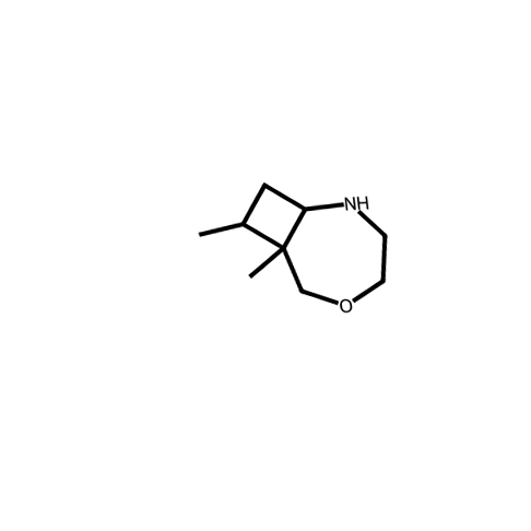 CC1CC2NCCOCC12C